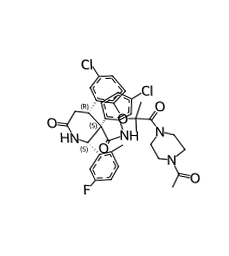 CC(=O)N1CCN(C(=O)C(C)(C)Oc2ccc(Cl)cc2[C@H]2CC(=O)N[C@@H](c3cc(F)ccc3C)[C@]23C(=O)Nc2cc(Cl)ccc23)CC1